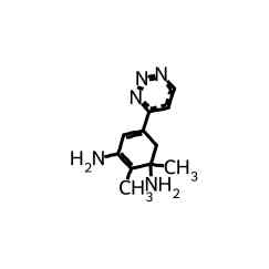 CC1=C(N)C=C(c2ccnnn2)CC1(C)N